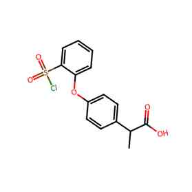 CC(C(=O)O)c1ccc(Oc2ccccc2S(=O)(=O)Cl)cc1